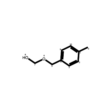 Cc1ccc(COCO)cc1